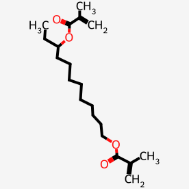 C=C(C)C(=O)OCCCCCCCCCC(CC)OC(=O)C(=C)C